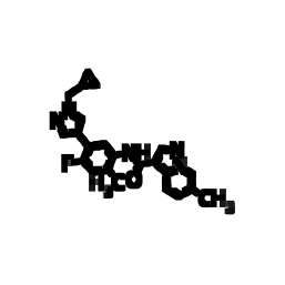 Cc1ccc2c(C(=O)Nc3cc(-c4cnn(CC5CC5)c4)c(F)cc3C)cnn2c1